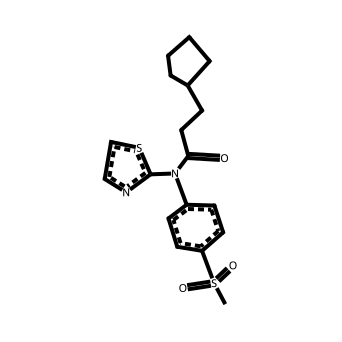 CS(=O)(=O)c1ccc(N(C(=O)CCC2CCCC2)c2nccs2)cc1